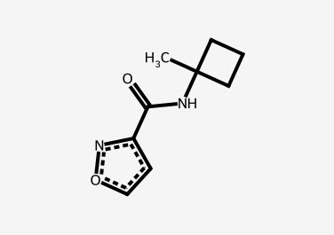 CC1(NC(=O)c2ccon2)CCC1